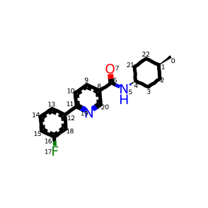 C[C@H]1CC[C@H](NC(=O)c2ccc(-c3cccc(F)c3)nc2)CC1